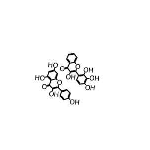 O=c1c(O)c(-c2ccc(O)c(O)c2O)oc2ccccc12.O=c1c(O)c(-c2ccc(O)cc2)oc2cc(O)cc(O)c12